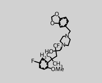 COc1ccc(F)cc1C(C)(C)CC(O)(CN1CCN(Cc2ccc3c(c2)OCO3)CC1)C(F)(F)F